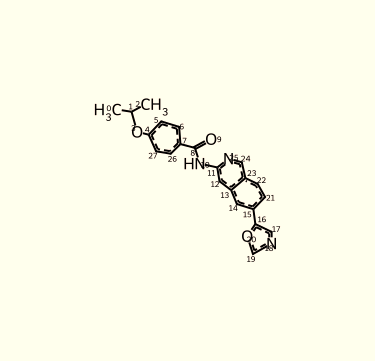 CC(C)Oc1ccc(C(=O)Nc2cc3cc(-c4cnco4)ccc3cn2)cc1